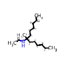 CCCCCCC(C)(CCCCCC)NCC